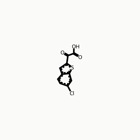 O=C(O)C(=O)c1cc2ccc(Cl)cc2s1